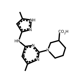 Cc1cc(Nc2cc(C)[nH]n2)nc(N2CCCC(C(=O)O)C2)n1